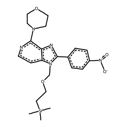 C[Si](C)(C)CCOCn1c(-c2ccc([N+](=O)[O-])cc2)nc2c(N3CCOCC3)nccc21